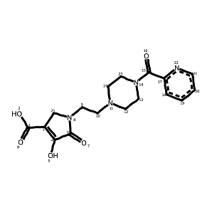 O=C(O)C1=C(O)C(=O)N(CCN2CCN(C(=O)c3ccccn3)CC2)C1